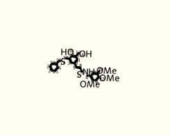 COc1cc(CNC(=S)/C=C/c2cc(CO)c(O)c(CSCc3ccccc3)c2)cc(OC)c1OC